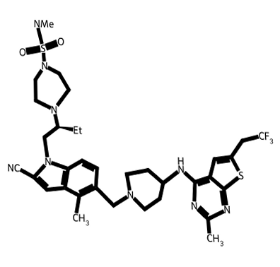 CC[C@@H](Cn1c(C#N)cc2c(C)c(CN3CCC(Nc4nc(C)nc5sc(CC(F)(F)F)cc45)CC3)ccc21)N1CCN(S(=O)(=O)NC)CC1